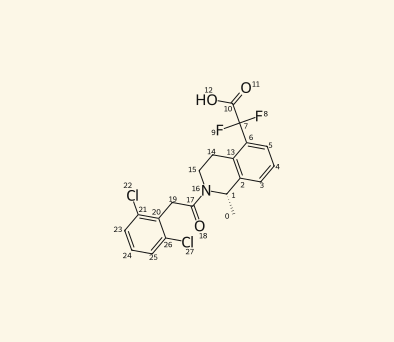 C[C@H]1c2cccc(C(F)(F)C(=O)O)c2CCN1C(=O)Cc1c(Cl)cccc1Cl